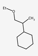 CCOCC(C)C1CCCCC1